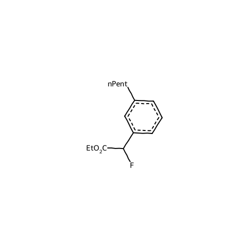 CCCCCc1cccc(C(F)C(=O)OCC)c1